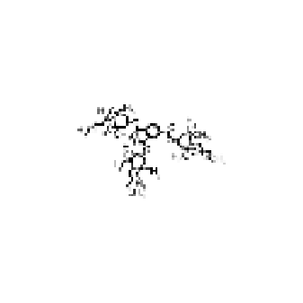 CCCCN1C(C)(C)CC(OC(=O)c2ccc(C(=O)OC3CC(C)(C)N(CCCC)C(C)(C)C3)c(C(=O)OC3CC(C)(C)N(CCCC)C(C)(C)C3)c2)CC1(C)C